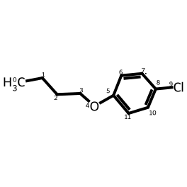 CCCCOc1c[c]c(Cl)cc1